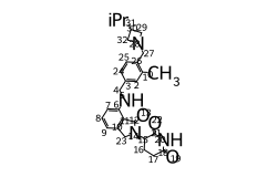 Cc1cc(CNc2cccc3c2C(=O)N(C2CCC(=O)NC2=O)C3)ccc1CN1CC(C(C)C)C1